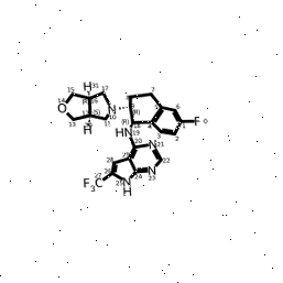 Fc1ccc2c(c1)CC[C@@H](N1C[C@H]3COC[C@H]3C1)[C@@H]2Nc1ncnc2[nH]c(C(F)(F)F)cc12